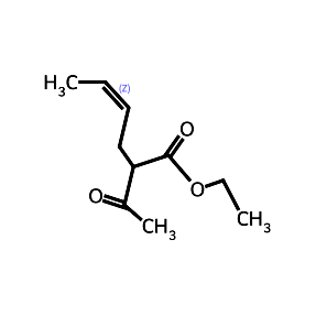 C/C=C\CC(C(C)=O)C(=O)OCC